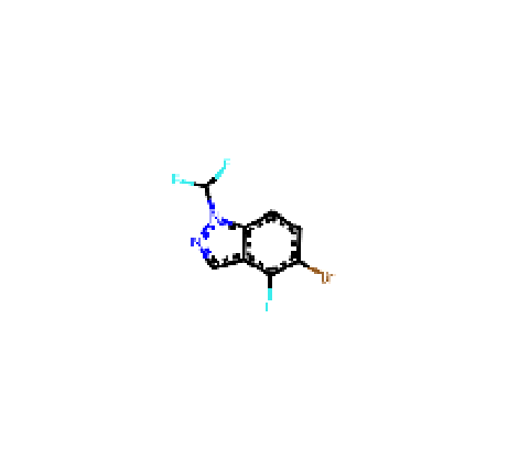 Fc1c(Br)ccc2c1cnn2C(F)F